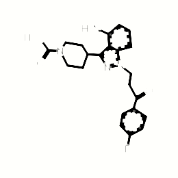 CC(=O)N1CCC(c2nn(CCC(=O)c3ccc(F)cc3)c3cccc(N)c23)CC1